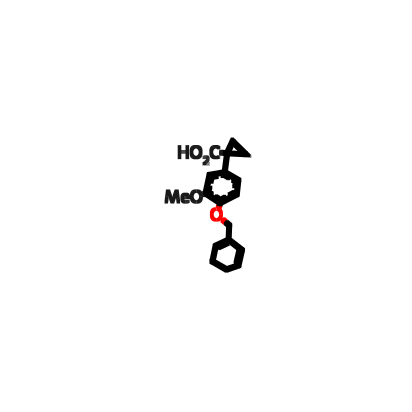 COc1cc(C2(C(=O)O)CC2)ccc1OCC1=CCCC=C1